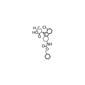 CCC(C(=O)O)n1c2c(c3cccc(Cl)c31)CC(NC(=O)OCc1ccccc1)CC2